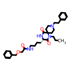 CCCN1C(=O)[C@H](CCCCNC(=O)COCc2ccccc2)NC(=O)C12CCN(CCc1ccccc1)CC2